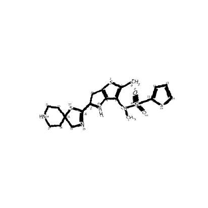 Cc1sc2c(c1N(C)S(=O)(=O)c1cccs1)NC(C1=NCC3(CCNCC3)S1)C2